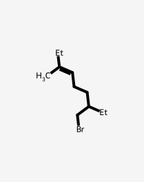 CCC(C)=CCCC(CC)CBr